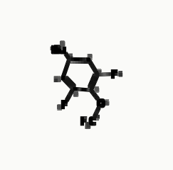 CC(C)(C)c1cc(F)c(OC(F)(F)F)c(F)c1